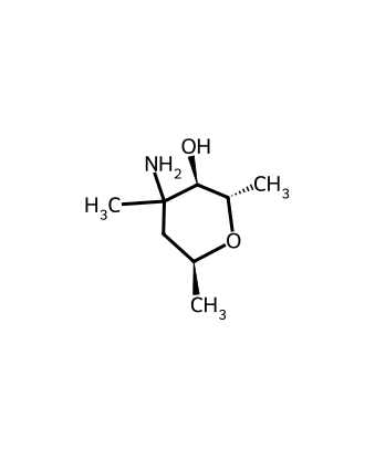 C[C@@H]1O[C@@H](C)CC(C)(N)[C@H]1O